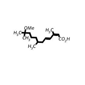 COC(C)(C)CCCC(C)C/C=C/C(C)=C\C(=O)O